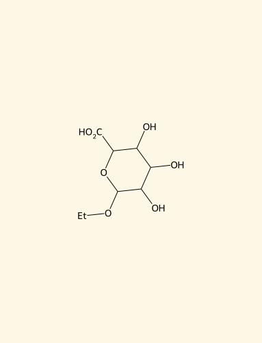 CCOC1OC(C(=O)O)C(O)C(O)C1O